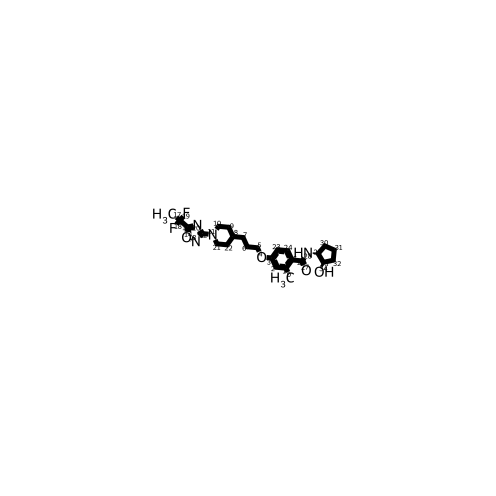 Cc1cc(OCCCC2CCN(c3noc(C(C)(F)F)n3)CC2)ccc1C(=O)N[C@@H]1CCC[C@H]1O